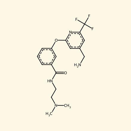 CN(C)CCNC(=O)c1cccc(Oc2cc(CN)cc(C(F)(F)F)n2)c1